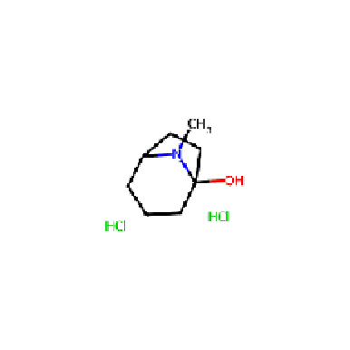 CN1C2CCCC1(O)CC2.Cl.Cl